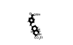 CCOC(=O)[C@@H]1C[C@H]2C[C@@H](Cc3ccc(C(=O)OC)cc3)CC[C@H]2CN1